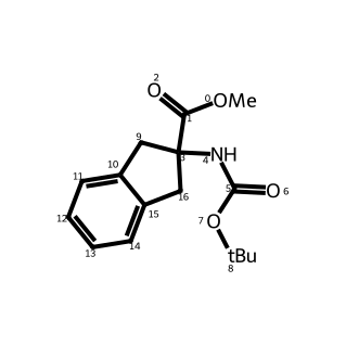 COC(=O)C1(NC(=O)OC(C)(C)C)Cc2ccccc2C1